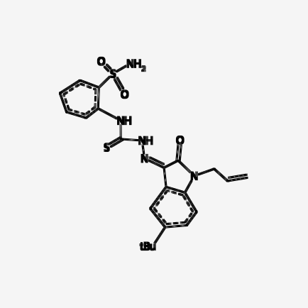 C=CCN1C(=O)C(=NNC(=S)Nc2ccccc2S(N)(=O)=O)c2cc(C(C)(C)C)ccc21